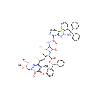 CCOC(Cn1nc(C(S)=CC2=C(C(=O)OC(c3ccccc3)c3ccccc3)N3C(=O)C(NC(=O)C(=NOC)c4csc(NC(c5ccccc5)(c5ccccc5)c5ccccc5)n4)C3[S+]([O-])C2)n(C)c(=O)c1=O)OCC